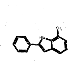 Cc1cccc2cc(-c3ccccc3)[nH]c12